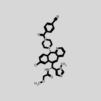 COCC(=O)N[C@H](C1=Cc2cccnc2[C@@H](N2CCN(C(=O)c3ccc(C#N)cc3)CC2)C2C=CC(Cl)=CC12)c1cncn1C